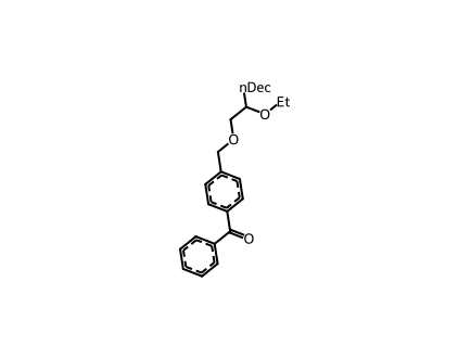 CCCCCCCCCCC(COCc1ccc(C(=O)c2ccccc2)cc1)OCC